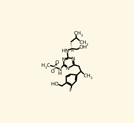 CC(C)C[C@H](CO)Nc1nc(CC(C)c2ccc(CO)c(F)c2)nc(NS(C)(=O)=O)n1